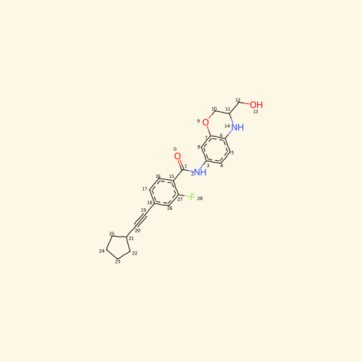 O=C(Nc1ccc2c(c1)OCC(CO)N2)c1ccc(C#CC2CCCC2)cc1F